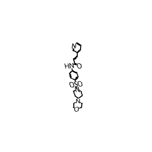 O=C(C=Cc1cccnc1)Nc1ccc(S(=O)(=O)N2CCC(N3CCOCC3)CC2)cc1